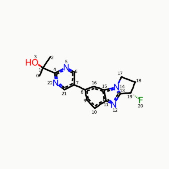 CC(C)(O)c1ncc(-c2ccc3nc4n(c3c2)CC[C@@H]4F)cn1